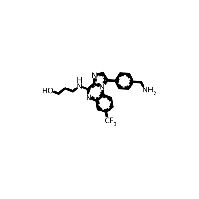 NCc1ccc(-c2cnc3c(NCCCO)nc4cc(C(F)(F)F)ccc4n23)cc1